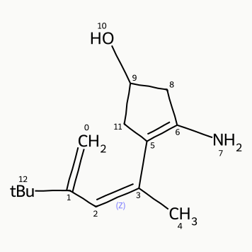 C=C(/C=C(/C)C1=C(N)CC(O)C1)C(C)(C)C